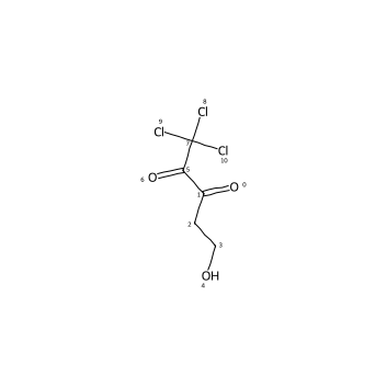 O=C(CCO)C(=O)C(Cl)(Cl)Cl